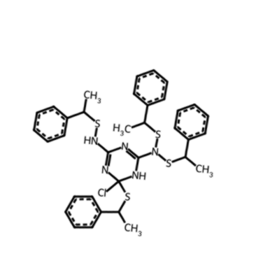 CC(SNC1=NC(Cl)(SC(C)c2ccccc2)NC(N(SC(C)c2ccccc2)SC(C)c2ccccc2)=N1)c1ccccc1